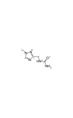 Cn1cnc(CNC(N)=O)n1